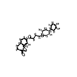 O=c1ccc2ccc(OCCCN3CCC(c4ccccc4)CC3)cc2o1